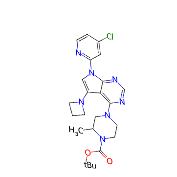 CC1CN(c2ncnc3c2c(N2CCC2)cn3-c2cc(Cl)ccn2)CCN1C(=O)OC(C)(C)C